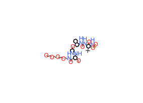 COCCOCCOCCOCCNC(=O)c1cc(Nc2cc(Oc3ccc(NC(=O)Nc4cc(C(C)(C)C)cc(NS(C)(=O)=O)c4OC)c4ccccc34)ccn2)cc(OC)c1